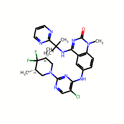 C[C@@H]1CN(c2ncc(Cl)c(Nc3ccc4c(c3)c(NC(C)(C)c3ncccn3)nc(=O)n4C)n2)C[C@H](C)C1(F)F